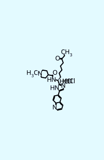 CCC(=O)CCCCC[C@H](NC(=O)C1CCN(C)CC1)c1ncc(-c2ccc3ncccc3c2)[nH]1.Cl.Cl.Cl